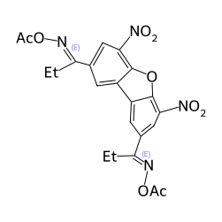 CC/C(=N\OC(C)=O)c1cc([N+](=O)[O-])c2oc3c([N+](=O)[O-])cc(/C(CC)=N/OC(C)=O)cc3c2c1